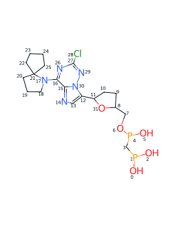 OP(O)CP(O)OCC1CCC(c2cnc3c(N4CCCC45CCCC5)nc(Cl)nn23)O1